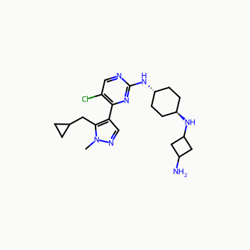 Cn1ncc(-c2nc(N[C@H]3CC[C@H](NC4CC(N)C4)CC3)ncc2Cl)c1CC1CC1